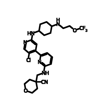 N#CC1(CNc2cccc(-c3cc(NC4CCC(NCCOC(F)(F)F)CC4)ncc3Cl)n2)CCOCC1